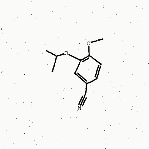 COc1ccc(C#N)cc1OC(C)C